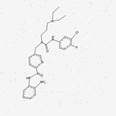 CCN(CC)CCCN(Cc1ccc(C(=O)Nc2ccccc2N)nc1)C(=O)Nc1ccc(F)c(Cl)c1